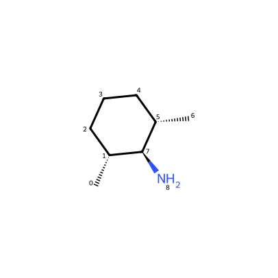 C[C@@H]1CCC[C@H](C)[C@H]1N